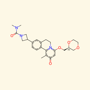 Cc1c2n(c(OC[C@@H]3COCCO3)cc1=O)CCc1cc(C3CN(C(=O)N(C)C)C3)ccc1-2